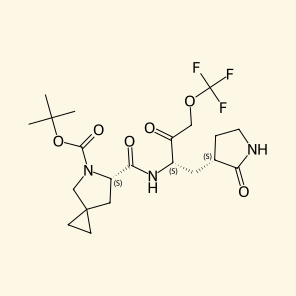 CC(C)(C)OC(=O)N1CC2(CC2)C[C@H]1C(=O)N[C@@H](C[C@@H]1CCNC1=O)C(=O)COC(F)(F)F